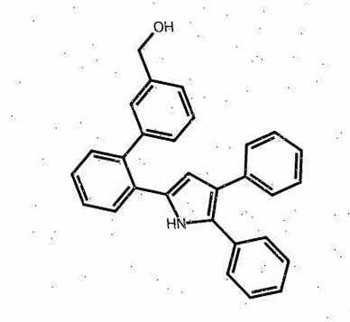 OCc1cccc(-c2ccccc2-c2cc(-c3ccccc3)c(-c3ccccc3)[nH]2)c1